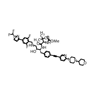 COC(=O)NC(C(=O)N[C@@H](Cc1ccc(C#Cc2ccc(N3CCN(C4CCOCC4)CC3)nc2)cc1)[C@@H](O)CNCc1c(F)cc(-c2ccn(C(F)F)n2)cc1F)C(C)(C)C(F)(F)F